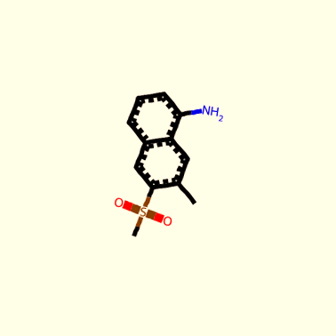 Cc1cc2c(N)cccc2cc1S(C)(=O)=O